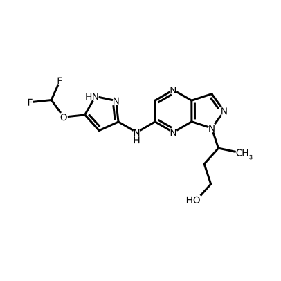 CC(CCO)n1ncc2ncc(Nc3cc(OC(F)F)[nH]n3)nc21